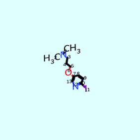 CN(C)CCCOc1ccc(I)nc1